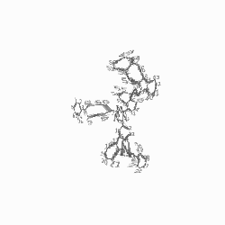 c1ccc(-c2ccc(-c3nc(-c4ccc5c(c4)c4ccccc4n5-c4ccccc4)nc(-c4cccc5c(-n6c7ccccc7c7cc8ccccc8cc76)cccc45)n3)cc2)cc1